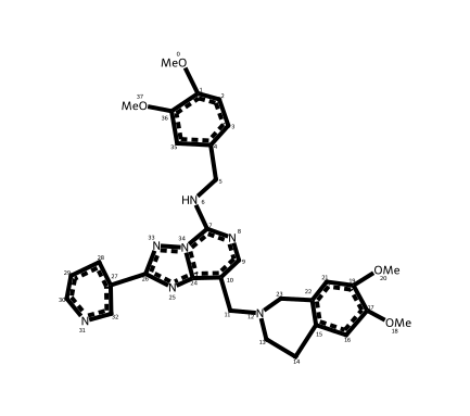 COc1ccc(CNc2ncc(CN3CCc4cc(OC)c(OC)cc4C3)c3nc(-c4cccnc4)nn23)cc1OC